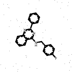 Fc1ccc(CNc2nc(-c3ccccc3)nc3ccccc23)cc1